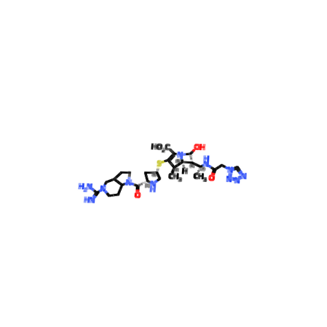 C[C@@H](NC(=O)Cn1cnnn1)[C@H]1C(O)N2C(C(=O)O)=C(S[C@@H]3CN[C@H](C(=O)N4CCC5CN(C(=N)N)CCC54)C3)[C@H](C)[C@H]12